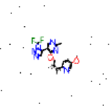 COc1ccc([C@@H](C)[C@H](C)COc2nc(C)ncc2-c2cnnn2C(F)F)nc1